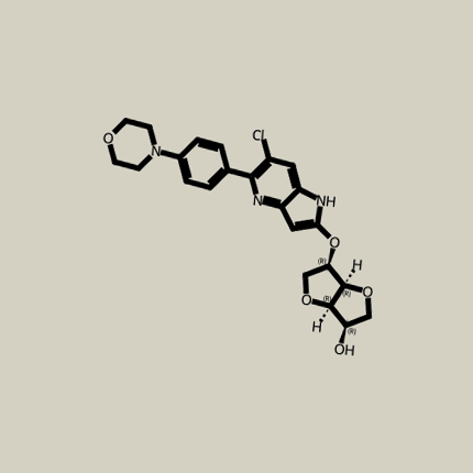 O[C@@H]1CO[C@H]2[C@@H]1OC[C@H]2Oc1cc2nc(-c3ccc(N4CCOCC4)cc3)c(Cl)cc2[nH]1